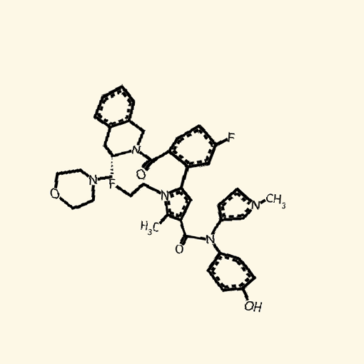 Cc1c(C(=O)N(c2ccc(O)cc2)c2ccn(C)c2)cc(-c2cc(F)ccc2C(=O)N2Cc3ccccc3C[C@H]2CN2CCOCC2)n1CCF